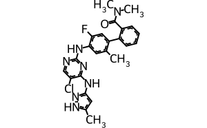 Cc1cc(Nc2nc(Nc3cc(C)c(-c4ccccc4C(=O)N(C)C)cc3F)ncc2Cl)n[nH]1